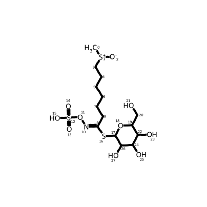 C[S+]([O-])CCCCCC/C(=N\OS(=O)(=O)O)SC1OC(CO)C(O)C(O)C1O